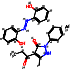 Cc1[nH]n(-c2ccccc2)c(=O)c1C(=O)CC(F)(F)F.Oc1ccccc1N=Nc1ccccc1O.[Al]